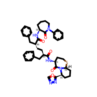 O=C(N[C@H]1CCCCN(c2ccccc2)C1=O)[C@H](CC[C@H](Cc1ccccc1)C(=O)N[C@H]1CCS[C@H]2CCC[C@@H](c3nnco3)N2C1=O)Cc1ccccc1